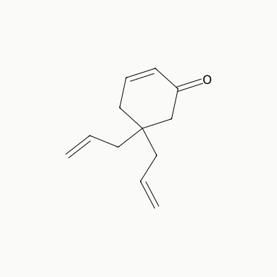 C=CCC1(CC=C)CC=CC(=O)C1